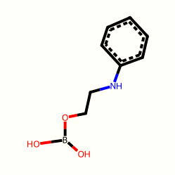 OB(O)OCCNc1ccccc1